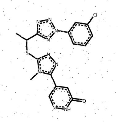 CC(Sc1nnc(-c2cn[nH]c(=O)c2)n1C)c1nnn(-c2cccc(Cl)c2)n1